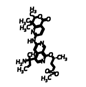 CCC(C)(N)c1cnc(O[C@H](C)CCS(C)(=O)=O)c2cnc(Nc3ccc4c(n3)C(C)(C)[C@@H](C)OC4=O)cc12